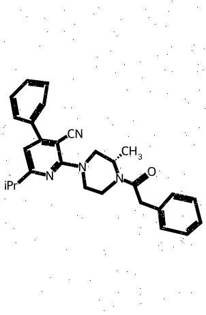 CC(C)c1cc(-c2ccccc2)c(C#N)c(N2CCN(C(=O)Cc3ccccc3)[C@@H](C)C2)n1